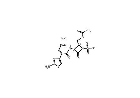 CON=C(C(=O)N[C@@H]1C(=O)N(S(=O)(=O)[O-])[C@@H]1COC(N)=O)c1csc(N)n1.[Na+]